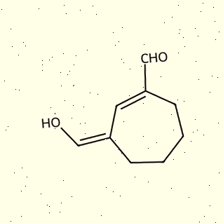 O=CC1=CC(=CO)CCCC1